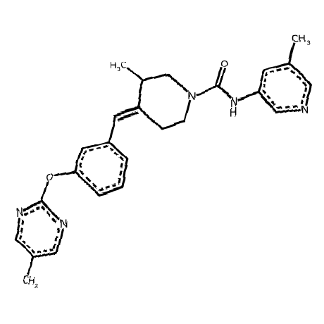 Cc1cnc(Oc2cccc(C=C3CCN(C(=O)Nc4cncc(C)c4)CC3C)c2)nc1